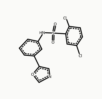 O=S(=O)(Nc1cccc(-c2cnco2)c1)c1cc(Cl)ccc1Cl